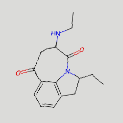 CCNC1CC(=O)c2cccc3c2N(C1=O)C(CC)C3